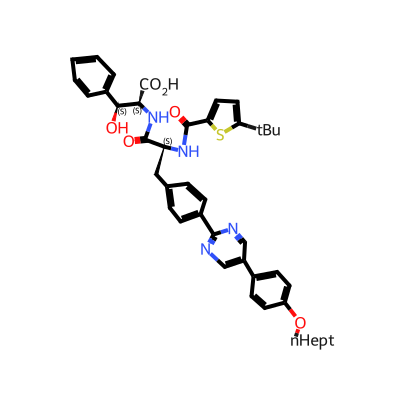 CCCCCCCOc1ccc(-c2cnc(-c3ccc(C[C@H](NC(=O)c4ccc(C(C)(C)C)s4)C(=O)N[C@H](C(=O)O)[C@@H](O)c4ccccc4)cc3)nc2)cc1